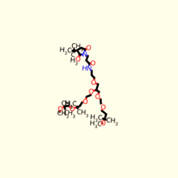 COC(C)(C)CCOCCOCC(COCCCNC(=O)CCN1C(=O)CC(C(C)(C)C)C1=O)OCCOCCC(C)(C)OCC(C)(C)OC